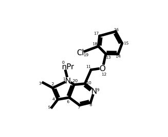 CCCn1c(C)c(C)c2ccnc(COc3ccccc3Cl)c21